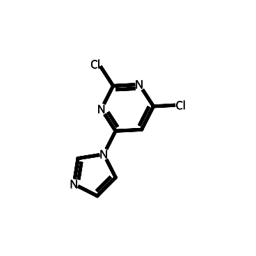 Clc1cc(-n2ccnc2)nc(Cl)n1